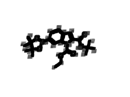 CCOC(=O)n1c(C(=O)OC(C)(C)C)cc2ccc(B3OC(C)(C)C(C)(C)O3)cc21